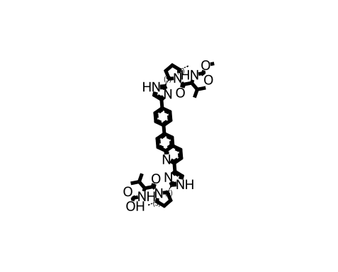 COC(=O)NC(C(=O)N1[C@@H](C)CC[C@H]1c1nc(-c2ccc(-c3ccc4nc(-c5c[nH]c([C@@H]6CC[C@H](C)N6C(=O)C(NC(=O)O)C(C)C)n5)ccc4c3)cc2)c[nH]1)C(C)C